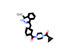 O=CC1NN=C(Cc2ccc(F)c(C(=O)N3CCN(C(=O)C4CC4)CC3)c2)c2ccccc21